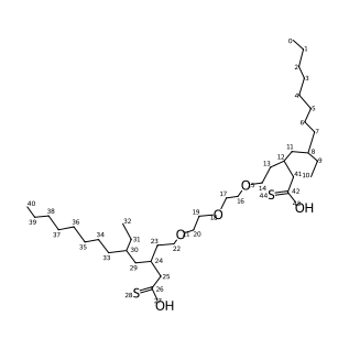 CCCCCCCCC(CC)CC(CCOCCOCCOCCC(CC(O)=S)CC(CC)CCCCCCCC)CC(O)=S